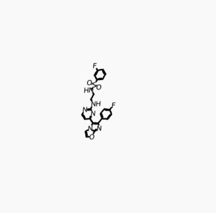 O=S(=O)(NCCNc1nccc(-c2c(-c3ccc(F)cc3)nc3occn23)n1)c1cccc(F)c1